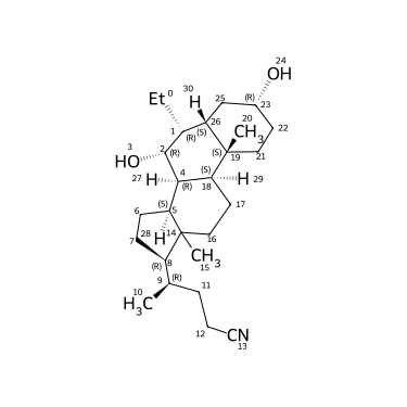 CC[C@H]1[C@@H](O)[C@@H]2[C@@H]3CC[C@H]([C@H](C)CCC#N)C3(C)CC[C@@H]2[C@@]2(C)CC[C@@H](O)C[C@@H]12